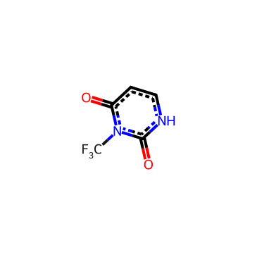 O=c1cc[nH]c(=O)n1C(F)(F)F